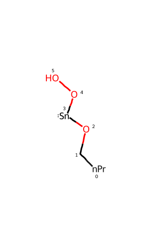 CCCC[O][Sn][O]O